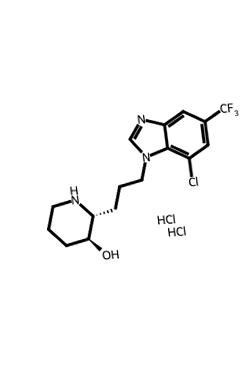 Cl.Cl.O[C@H]1CCCN[C@@H]1CCCn1cnc2cc(C(F)(F)F)cc(Cl)c21